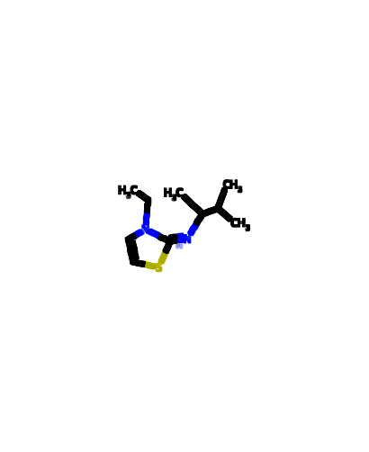 CCn1ccs/c1=N/C(C)C(C)C